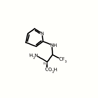 N[C@H](C(=O)O)C(Nc1ccccn1)C(F)(F)F